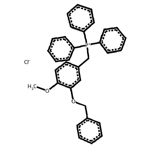 COc1ccc(C[P+](c2ccccc2)(c2ccccc2)c2ccccc2)cc1OCc1ccccc1.[Cl-]